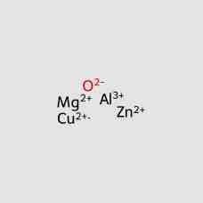 [Al+3].[Cu+2].[Mg+2].[O-2].[Zn+2]